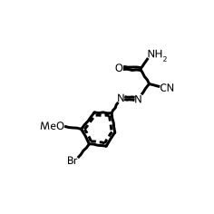 COc1cc(/N=N/C(C#N)C(N)=O)ccc1Br